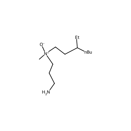 CCCCC(CC)CC[N+](C)([O-])CCCN